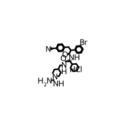 Cl.N#Cc1ccc(CC(C(=O)N[C@H](C(=O)NCC2CCN(C(=N)N)CC2)C2CCCCC2)c2cccc(Br)c2)cc1